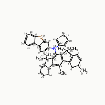 CC1C=CC2=C(C1)c1c(C(C)(C)C)c3c(c(N(c4ccccc4)c4ccc5c(c4)sc4ccccc45)c1C2(C)C)C(C)(C)c1ccccc1-3